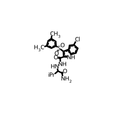 Cc1cc(C)cc(S(=O)(=O)c2c(C(=O)NNC(C(N)=O)C(C)C)[nH]c3ccc(Cl)cc23)c1